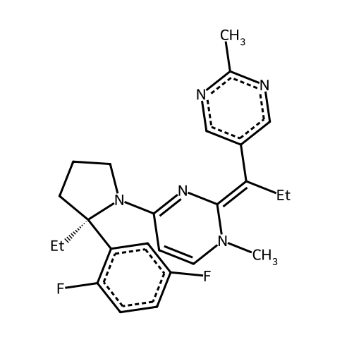 CC/C(=C1/N=C(N2CCC[C@]2(CC)c2cc(F)ccc2F)C=CN1C)c1cnc(C)nc1